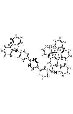 c1cc(-c2cnc(-c3ccc(-n4c5ccccc5c5ccccc54)cc3)nc2)cc(-c2nc3ccccc3c3c4c(ccc23)C2(c3ccccc3-c3ccccc32)c2ccccc2-4)c1